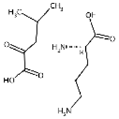 CC(C)CC(=O)C(=O)O.NCCC[C@H](N)C(=O)O